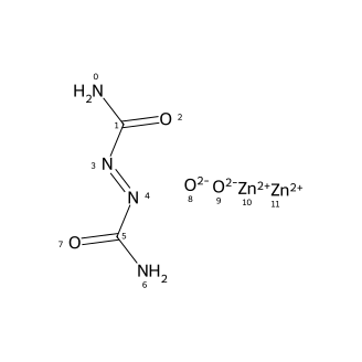 NC(=O)N=NC(N)=O.[O-2].[O-2].[Zn+2].[Zn+2]